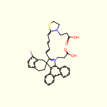 O=C(O)CCN1CCS/C1=C/C=C/C=C/C1=[N+](CCC(=O)O)c2c(c3ccccc3c3ccccc23)C12CCc1ccc(I)c(c1)C2